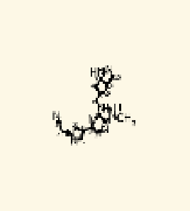 CN1NN(Cc2cc3[nH]ncc3s2)c2nc(-c3cnn(CC#N)c3)cnc21